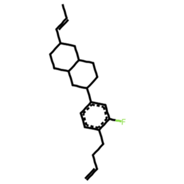 C=CCCc1ccc(C2CCC3CC(C=CC)CCC3C2)cc1F